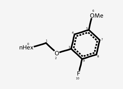 CCCCCCCOc1cc(OC)ccc1F